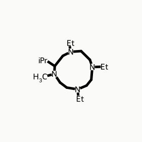 CCN1CCN(CC)CCN(C)C(C(C)C)CN(CC)CC1